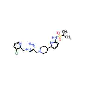 CC(C)S(=O)(=O)Nc1cccc(C2CCN(C/C(=C/NCc3ncccc3Cl)N=N)CC2)n1